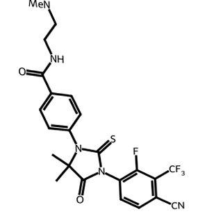 CNCCNC(=O)c1ccc(N2C(=S)N(c3ccc(C#N)c(C(F)(F)F)c3F)C(=O)C2(C)C)cc1